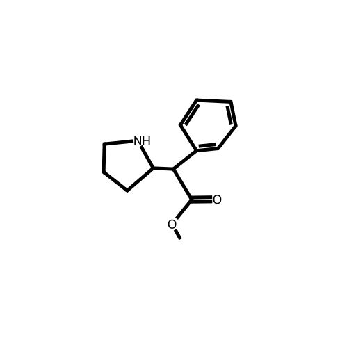 COC(=O)C(c1ccccc1)C1CCCN1